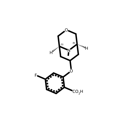 CN1[C@@H]2COC[C@H]1CC(Oc1cc(F)ccc1C(=O)O)C2